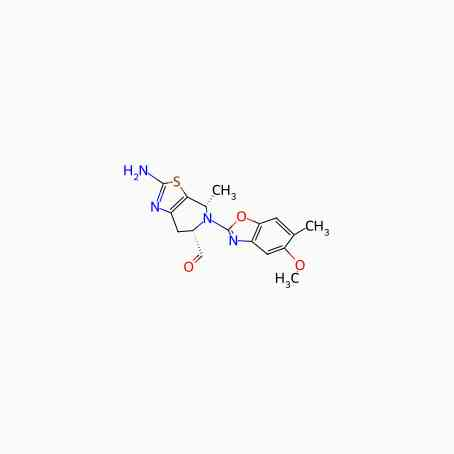 COc1cc2nc(N3[C@H](C=O)Cc4nc(N)sc4[C@@H]3C)oc2cc1C